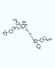 Cc1ncsc1-c1ccc(CNC(=O)[C@@H]2C[C@@H](O)CN2C(=O)[C@@H](NC(=O)COCCOCCCn2cc(-c3ccc4c(c3)CC/C4=N\O)c(-c3ccncc3)n2)C(C)(C)C)cc1